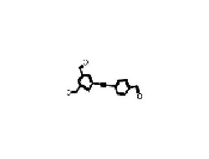 O=Cc1ccc(C#Cc2cc(C=O)cc(C=O)c2)cc1